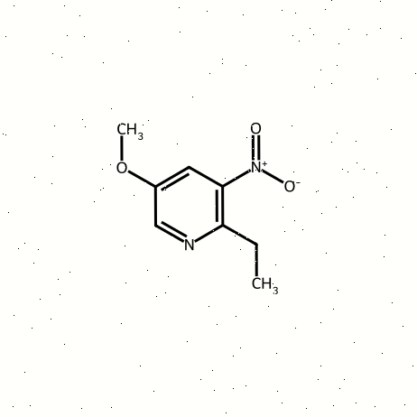 CCc1ncc(OC)cc1[N+](=O)[O-]